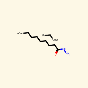 CC(C)CC=O.CCCCCCCCCCCCCCCCCC(=O)NN